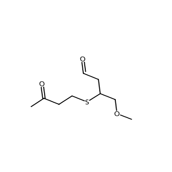 COCC(CC=O)SCCC(C)=O